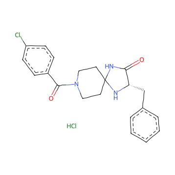 Cl.O=C1NC2(CCN(C(=O)c3ccc(Cl)cc3)CC2)N[C@H]1Cc1ccccc1